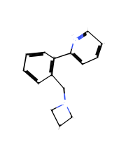 [c]1cccc(-c2ccccn2)c1CN1CCC1